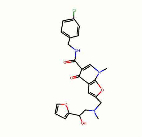 CN(Cc1cc2c(=O)c(C(=O)NCc3ccc(Cl)cc3)cn(C)c2o1)CC(O)c1ccco1